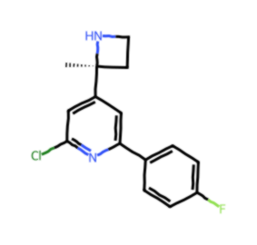 C[C@@]1(c2cc(Cl)nc(-c3ccc(F)cc3)c2)CCN1